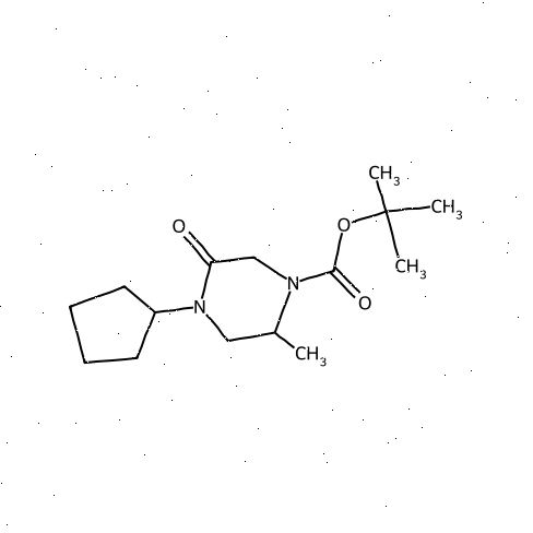 CC1CN(C2CCCC2)C(=O)CN1C(=O)OC(C)(C)C